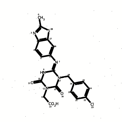 Cc1nc2ccc(/N=c3\[nH]c(=O)n(CC(=O)O)c(=O)n3Cc3ccc(Cl)cc3)cc2s1